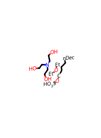 CCCCCCCCCCCCCCOS(=O)(=O)O.CCOCC.OCCN(CCO)CCO